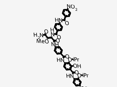 CO[C@H](C(N)=O)[C@H](NC(=O)c1ccc(NC(=O)c2ccc([N+](=O)[O-])cc2)cc1)C(=O)Nc1ccc(C(=O)Nc2ccc(C(=O)Nc3ccc(C(=O)O)cc3OC(C)C)c(O)c2OC(C)C)cc1